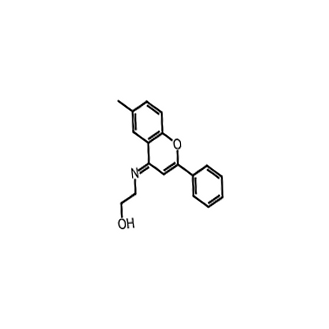 Cc1ccc2oc(-c3ccccc3)c/c(=N\CCO)c2c1